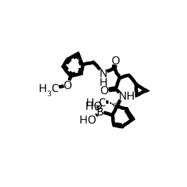 CC[C@]1(NC(=O)C(CC2CC2)C(=O)NCc2cccc(OC)c2)C=CC=CC1B(O)O